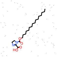 CCCCCCCCCCCCCCCCOC(=O)N1CCN=C1C(=O)O